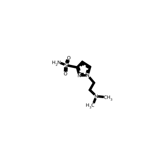 CN(C)CCn1ccc(S(N)(=O)=O)n1